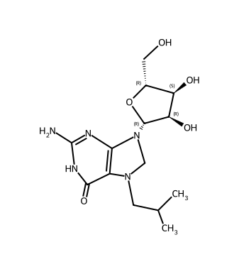 CC(C)CN1CN([C@@H]2O[C@H](CO)[C@@H](O)[C@H]2O)c2nc(N)[nH]c(=O)c21